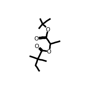 CCC(C)(C)C(=O)OC(C)C(=O)OC(C)(C)C